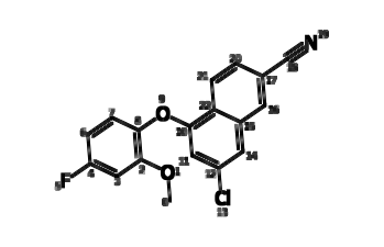 COc1cc(F)ccc1Oc1cc(Cl)cc2cc(C#N)ccc12